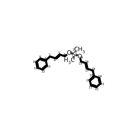 C[Si](C)(OCC=CCc1ccccc1)OCC=CCc1ccccc1